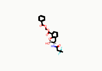 CC(F)(F)CC(=O)N[C@H]1Cc2cccc(C(=O)OCOC(=O)c3ccccc3)c2OB1O